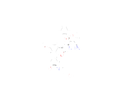 COCCCN1CCOc2ccc(CO[C@H]3CN[C@H](C(C(C#N)C(C)C)S(=O)(=O)c4ccc(C)cc4)C[C@@H]3c3ccc(OC)cc3)cc21